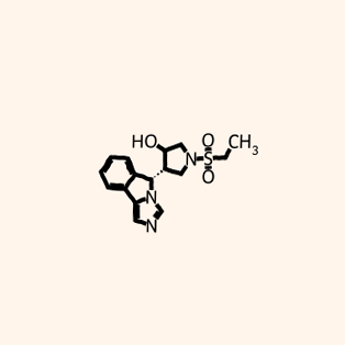 CCS(=O)(=O)N1CC(O)C([C@H]2c3ccccc3-c3cncn32)C1